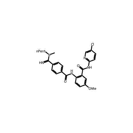 CCCCCN(C)C(=N)c1ccc(C(=O)Nc2ccc(OC)cc2C(=O)Nc2ccc(Cl)cn2)cc1